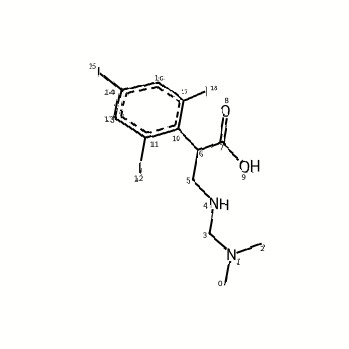 CN(C)CNCC(C(=O)O)c1c(I)cc(I)cc1I